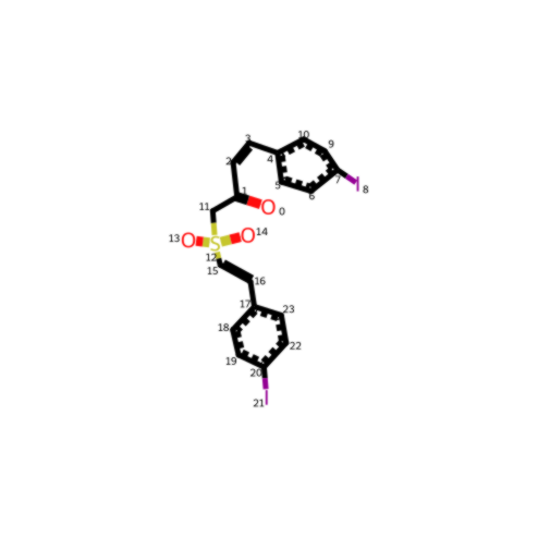 O=C(/C=C\c1ccc(I)cc1)CS(=O)(=O)C=Cc1ccc(I)cc1